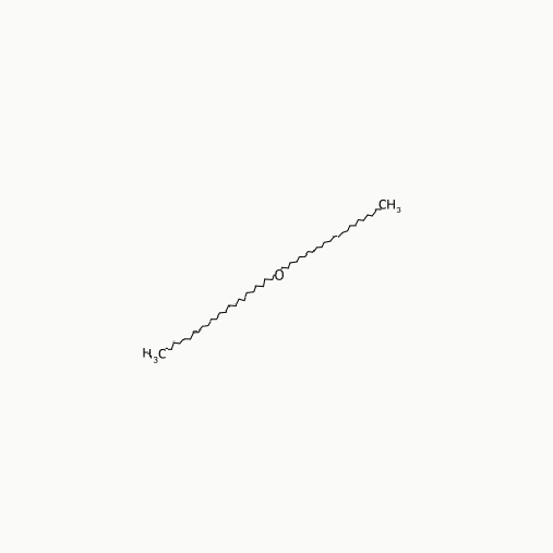 CCCCCCCCCCCCCCCCCCCCCCCCCCOCCCCCCCCCCCCCCCCCCCCCCCCC